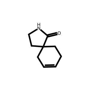 O=C1NCCC12CC=CCC2